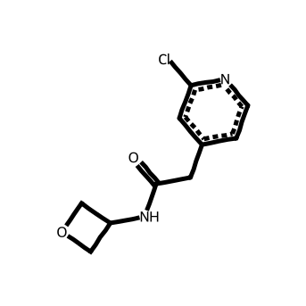 O=C(Cc1ccnc(Cl)c1)NC1COC1